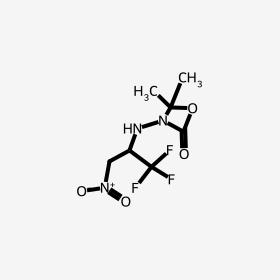 CC1(C)OC(=O)N1NC(C[N+](=O)[O-])C(F)(F)F